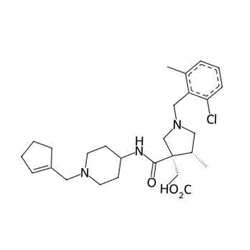 Cc1cccc(Cl)c1CN1C[C@H](C)[C@@](CC(=O)O)(C(=O)NC2CCN(CC3=CCCC3)CC2)C1